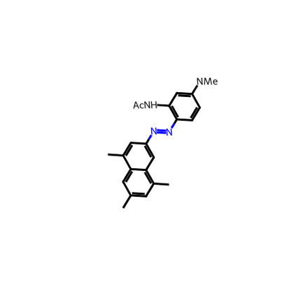 CNc1ccc(N=Nc2cc(C)c3cc(C)cc(C)c3c2)c(NC(C)=O)c1